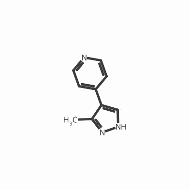 Cc1n[nH][c]c1-c1ccncc1